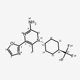 CC1=C(c2ncco2)N=C(N)CN1[C@H]1CC[C@H](C(F)(F)F)CC1